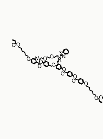 C=CC(=O)OCCCCCCOc1ccc(C(=O)Oc2ccc(COc3ccc(OC(=O)c4ccc(OC(=O)c5ccc(OCCCCCCOC(=O)C=C)cc5)cc4)cc3/C=N/N(CCOCCOC)c3nc4ccccc4s3)cc2)cc1